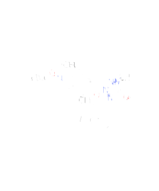 CCCCON=C(C)c1ccc(OCc2c(C)cccc2-n2nnn(C)c2=O)c(C)c1